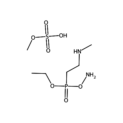 CCOP(=O)(CCNC)ON.COS(=O)(=O)O